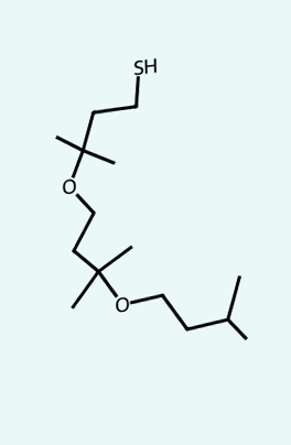 CC(C)CCOC(C)(C)CCOC(C)(C)CCS